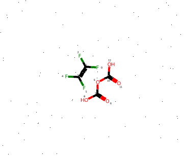 FC(F)=C(F)F.O=C(O)OC(=O)O